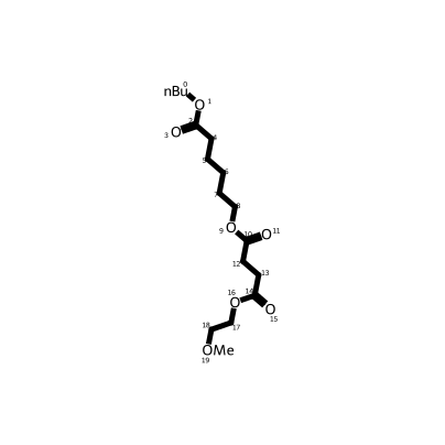 CCCCOC(=O)CCCCCOC(=O)CCC(=O)OCCOC